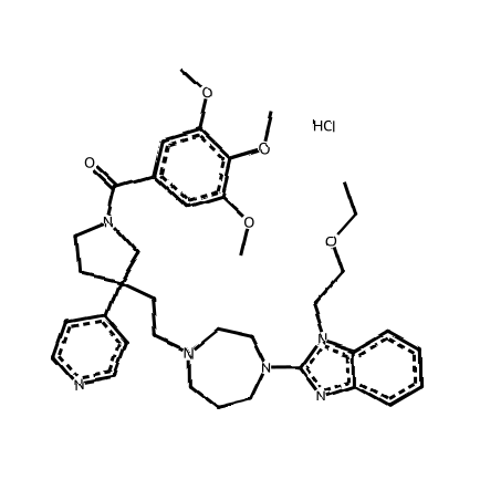 CCOCCn1c(N2CCCN(CCC3(c4ccncc4)CCN(C(=O)c4cc(OC)c(OC)c(OC)c4)C3)CC2)nc2ccccc21.Cl